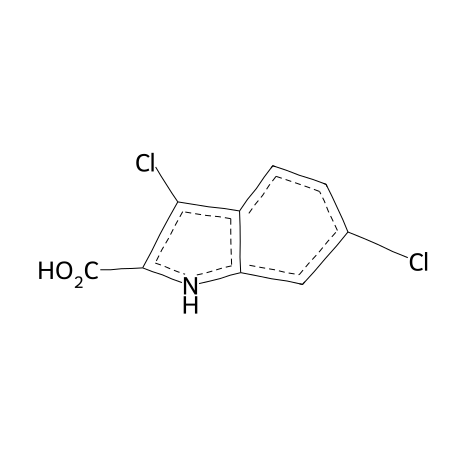 O=C(O)c1[nH]c2cc(Cl)ccc2c1Cl